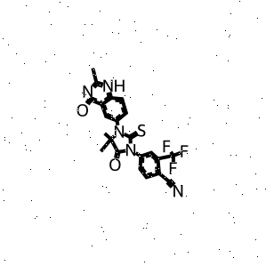 Cc1nc(=O)c2cc(N3C(=S)N(c4ccc(C#N)c(C(F)(F)F)c4)C(=O)C3(C)C)ccc2[nH]1